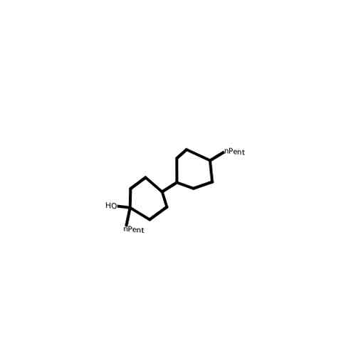 CCCCCC1CCC(C2CCC(O)(CCCCC)CC2)CC1